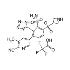 Cc1cc(-c2ccc(S(=O)(=O)C3CNC3)c(S(N)(=O)=O)c2-c2nnn[nH]2)cnc1C#N.O=C(O)C(F)(F)F